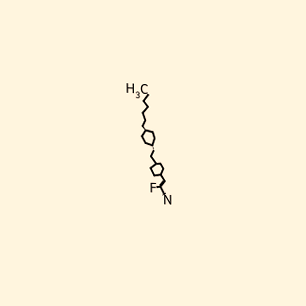 CCCCCCC[C@H]1CC[C@H](CCC2CCC(C=C(F)C#N)CC2)CC1